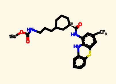 CC(C)(C)OC(=O)NCCCC1CCC[C@H](C(=O)Nc2cc(C(F)(F)F)cc3c2Nc2ccccc2S3)C1